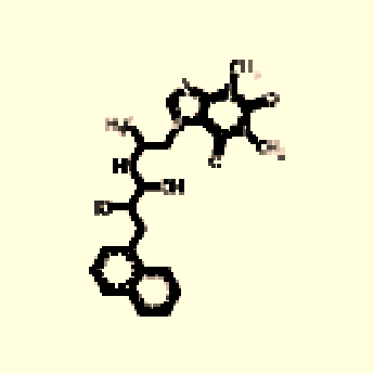 CC(Cn1cnc2c1c(=O)n(C)c(=O)n2C)NC(O)C(O)Cc1cccc2ccccc12